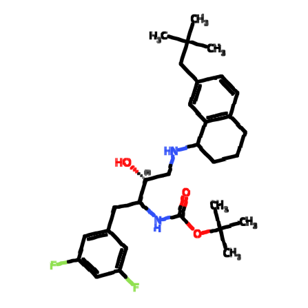 CC(C)(C)Cc1ccc2c(c1)C(NC[C@@H](O)C(Cc1cc(F)cc(F)c1)NC(=O)OC(C)(C)C)CCC2